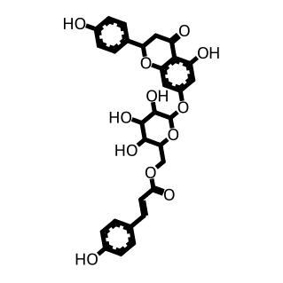 O=C(/C=C/c1ccc(O)cc1)OCC1OC(Oc2cc(O)c3c(c2)OC(c2ccc(O)cc2)CC3=O)C(O)C(O)C1O